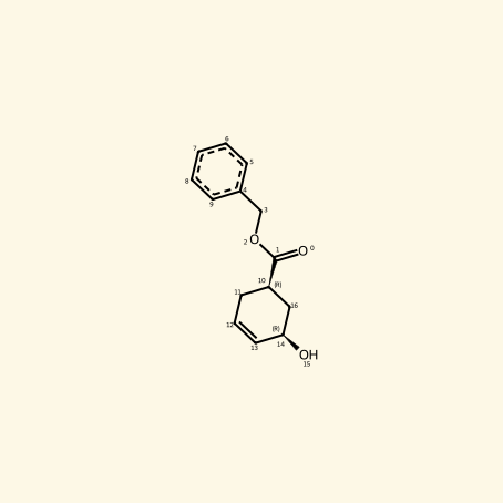 O=C(OCc1ccccc1)[C@@H]1CC=C[C@H](O)C1